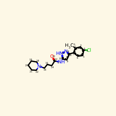 Cc1cc(Cl)ccc1-c1cc(NC(=O)CCCN2CCCCC2)[nH]n1